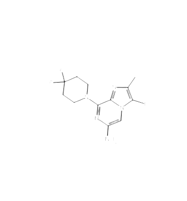 Cc1nc2c(N3CCC(F)(F)CC3)nc(N)cn2c1F